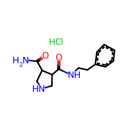 Cl.NC(=O)C1CNCC1C(=O)NCCc1ccccc1